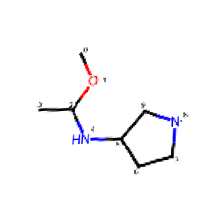 COC(C)NC1CC[N]C1